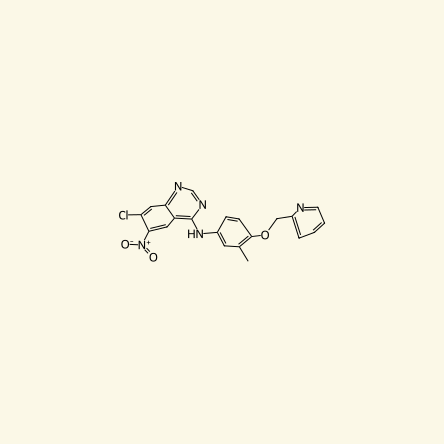 Cc1cc(Nc2ncnc3cc(Cl)c([N+](=O)[O-])cc23)ccc1OCc1ccccn1